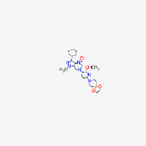 COc1nc(N2CCC3(CC2)OCCO3)ccc1N1C=c2c(c(C3CCCCC3)nn2C)=[N+]([O-])C1